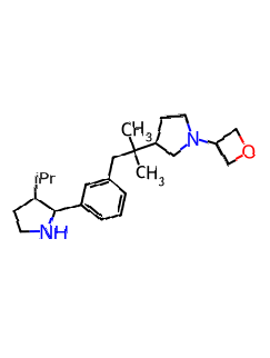 CC(C)C1CCNC1c1cccc(CC(C)(C)C2CCN(C3COC3)C2)c1